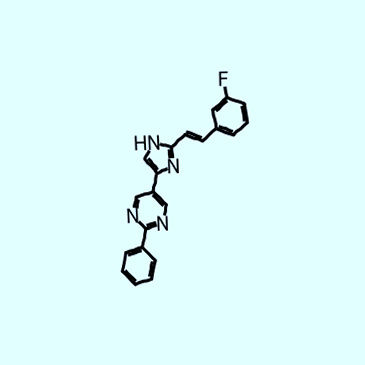 Fc1cccc(C=Cc2nc(-c3cnc(-c4ccccc4)nc3)c[nH]2)c1